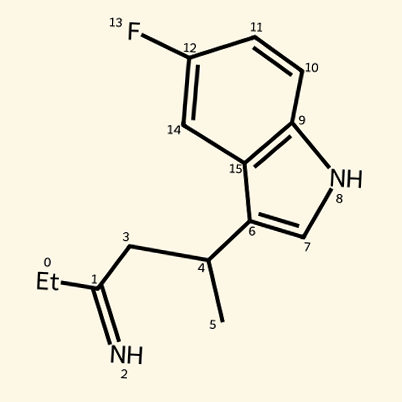 [CH2]CC(=N)CC(C)c1c[nH]c2ccc(F)cc12